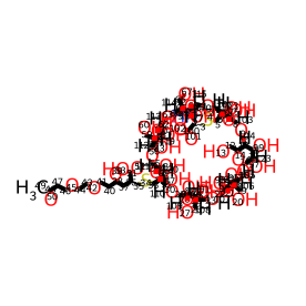 CN[C@H](CSCC1O[C@H]2O[C@@H]3C(CO)O[C@H](O[C@@H]4C(CO)O[C@H](O[C@@H]5C(CO)O[C@@H](O[C@@H]6C(CSC[C@@H](CC(=O)CCOCCOCCC(C)=O)C(=O)O)O[C@H](O[C@@H]7C(CO)O[C@@H](O[C@@H]8C(CO)O[C@@H](O[C@H]1[C@H](O)C2O)C(O)[C@H]8O)C(O)[C@H]7O)C(O)[C@H]6O)C(O)[C@H]5O)C(O)[C@H]4O)[C@@H](O)C3O)C(=O)O